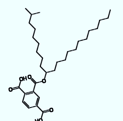 CCCCCCCCCCCCC(CCCCCCCC(C)C)OC(=O)c1cc(C(=O)O)ccc1C(=O)O